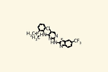 CP(C)c1ccccc1Nc1nc(Nc2nc3ccc(C(F)(F)F)cc3s2)ncc1Cl